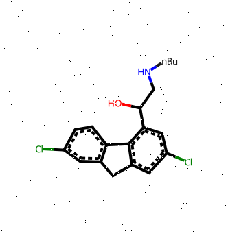 CCCCNCC(O)c1cc(Cl)cc2c1-c1ccc(Cl)cc1C2